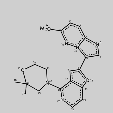 COc1ccc2ncc(-c3cc4c(N5CCOC(C)(C)C5)nccc4o3)n2n1